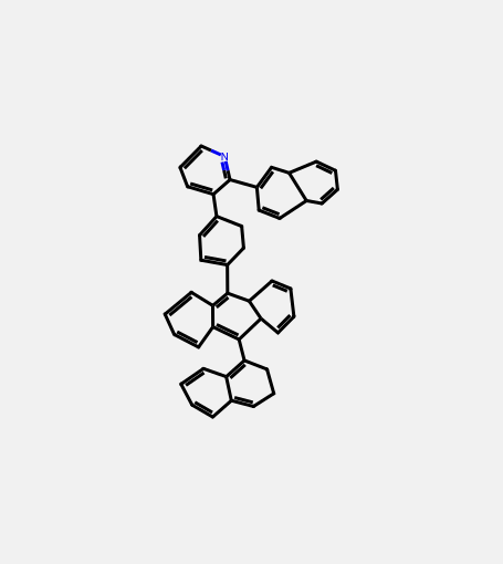 C1=CC2C=CC(c3ncccc3C3=CC=C(C4=c5ccccc5=C(C5=c6ccccc6=CCC5)C5C=CC=CC45)CC3)=CC2C=C1